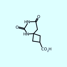 O=C1CC2(CC(C(=O)O)C2)NC(=O)N1